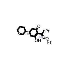 CCC/C(=N\OCC)C1=C(O)C[C@H](C2CCCSC2)CC1=O